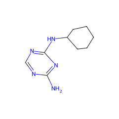 Nc1ncnc(NC2CCCCC2)n1